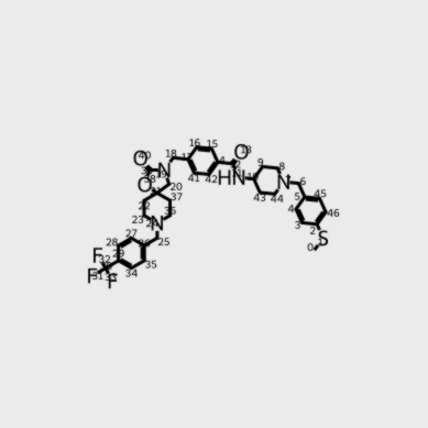 CSc1ccc(CN2CCC(NC(=O)c3ccc(CN4CC5(CCN(Cc6ccc(C(F)(F)F)cc6)CC5)OC4=O)cc3)CC2)cc1